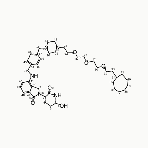 O=C1NC(O)CCC1N1Cc2c(NCc3ccc(CN4CCN(CCOCCOCCOCCC5CCCCCCC5)CC4)cc3)cccc2C1=O